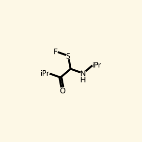 CC(C)NC(SF)C(=O)C(C)C